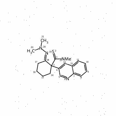 CNC(=S)C1(c2cnc3ccccc3c2)CCCCC1=NN(C)C